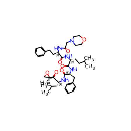 CC(C)CC[C@@H](NC(=O)[C@@H](CCc1ccccc1)NC(=O)CN1CCOCC1)C(=O)N[C@@H](Cc1ccccc1)C(=O)N[C@H](CC(C)C)C(=O)[C@]1(C)CO1